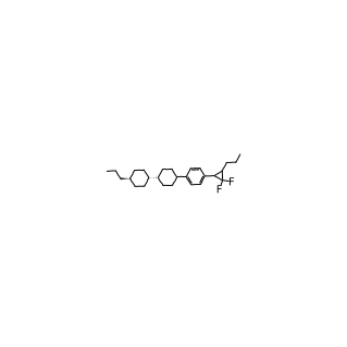 CCCC1C(c2ccc(C3CCC([C@H]4CC[C@H](CCC)CC4)CC3)cc2)C1(F)F